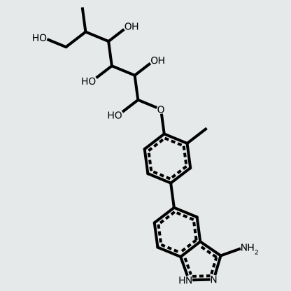 Cc1cc(-c2ccc3[nH]nc(N)c3c2)ccc1OC(O)C(O)C(O)C(O)C(C)CO